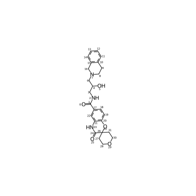 O=C(NCC(O)CN1CCc2ccccc2C1)c1ccc2c(c1)NC(=O)C1(CCOCC1)O2